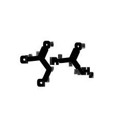 CC(C)C(N)=O.O=C(Cl)CCl